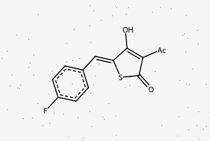 CC(=O)C1=C(O)C(=Cc2ccc(F)cc2)SC1=O